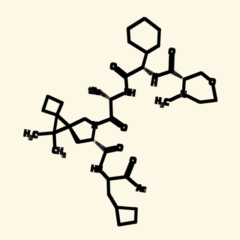 CC(=O)C(=O)C(CC1CCC1)NC(=O)[C@@H]1C[C@@]2(CN1C(=O)[C@@H](NC(=O)[C@@H](NC(=O)[C@@H]1COCCN1C)C1CCCCC1)C(C)(C)C)C(C)(C)C21CCC1